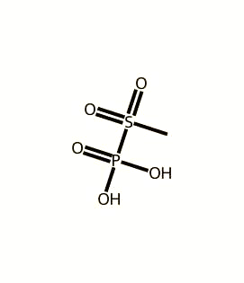 CS(=O)(=O)P(=O)(O)O